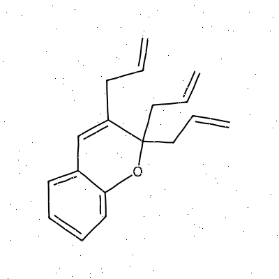 C=CCC1=Cc2ccccc2OC1(CC=C)CC=C